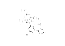 CC12CC3(C)CC(C)(C1)CC(c1cc(F)cc(-c4ccccc4)c1O)(C2)C3